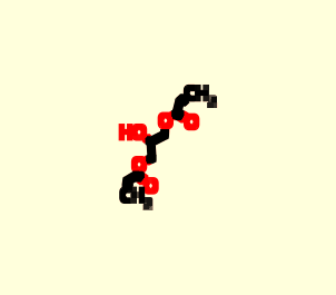 C=CC(=O)OCC(O)COC(=O)C=C